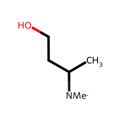 C[N]C(C)CCO